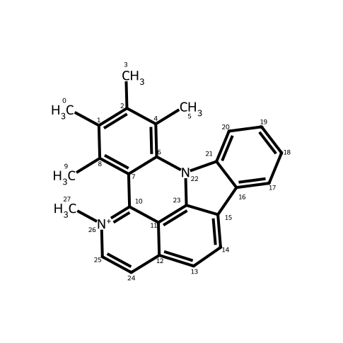 Cc1c(C)c(C)c2c(c1C)c1c3c(ccc4c5ccccc5n2c43)cc[n+]1C